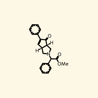 COC(=O)C(c1ccccc1)N1C[C@@H]2C=C(c3ccccc3)C(=O)[C@@H]2C1